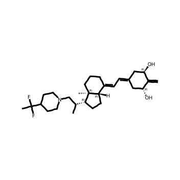 C=C1[C@H](O)CC(=CC=C2CCC[C@]3(C)[C@@H](C(C)CN4CCC(C(C)(F)F)CC4)CC[C@@H]23)C[C@H]1O